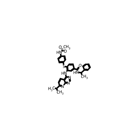 CC(C)c1ccc2c(Nc3cc(C(=O)NC(C)c4ccccc4)ccc3Sc3ccc(NS(C)(=O)=O)cc3)ncnc2n1